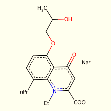 CCCc1ccc(OCC(C)O)c2c(=O)cc(C(=O)[O-])n(CC)c12.[Na+]